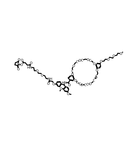 COCCOCCOCCOc1ccc2c(c1)OCCOCCOCCOCCOc1ccc(C(=O)NC(c3ccc(OCC(=O)NCCOCCOCCNC(=O)CCC(=O)ON4C(=O)CCC4=O)cc3)c3ccc(OC)cc3OC)cc1OCCOCCOCCOCCO2